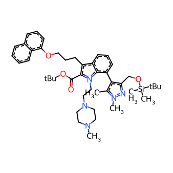 Cc1c(-c2cccc3c(CCCOc4cccc5ccccc45)c(C(=O)OC(C)(C)C)n(CCN4CCN(C)CC4)c23)c(CO[Si](C)(C)C(C)(C)C)nn1C